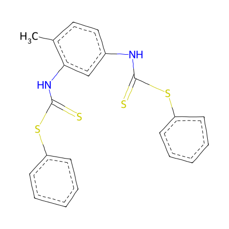 Cc1ccc(NC(=S)Sc2ccccc2)cc1NC(=S)Sc1ccccc1